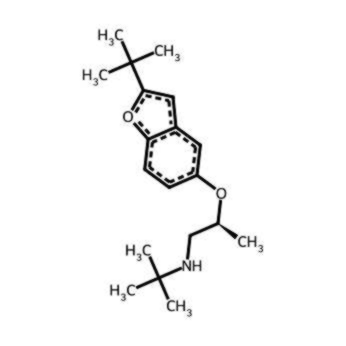 C[C@@H](CNC(C)(C)C)Oc1ccc2oc(C(C)(C)C)cc2c1